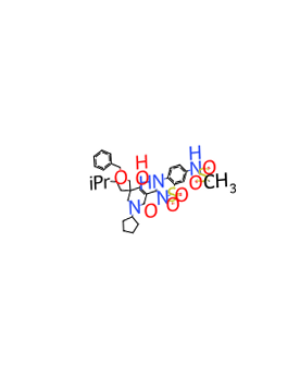 CC(C)CCC1(COCc2ccccc2)CN(C2CCCC2)C(=O)C(C2=NS(=O)(=O)c3cc(NS(C)(=O)=O)ccc3N2)=C1O